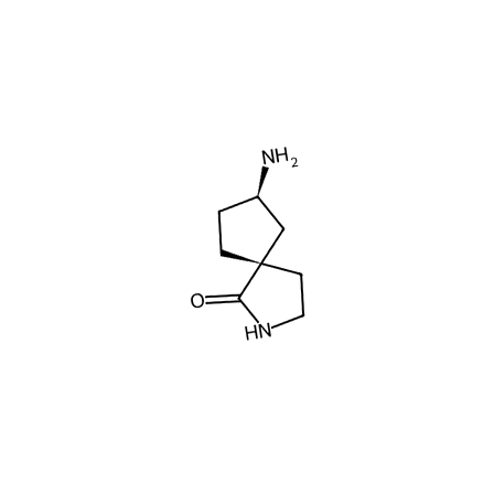 N[C@@H]1CC[C@]2(CCNC2=O)C1